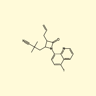 C=CCC1C(=O)N(c2ccc(I)c3cccnc23)C1CC(C)(C)C#N